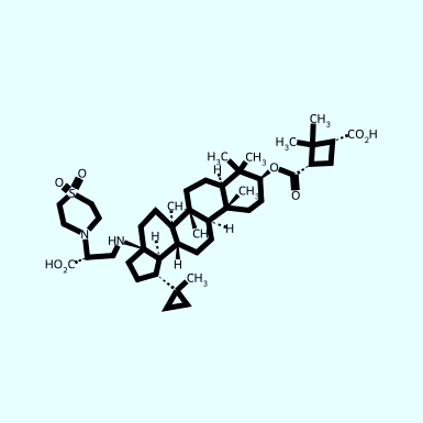 CC1([C@@H]2CC[C@]3(NC[C@H](C(=O)O)N4CCS(=O)(=O)CC4)CC[C@]4(C)[C@H](CC[C@@H]5[C@@]6(C)CC[C@H](OC(=O)[C@H]7C[C@@H](C(=O)O)C7(C)C)C(C)(C)[C@@H]6CC[C@]54C)[C@@H]23)CC1